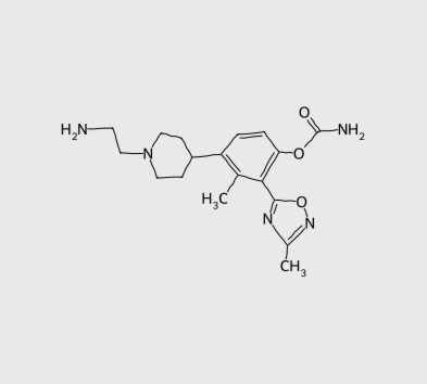 Cc1noc(-c2c(OC(N)=O)ccc(C3CCN(CCN)CC3)c2C)n1